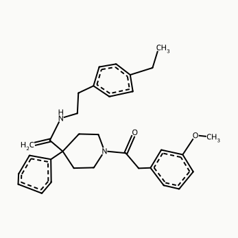 C=C(NCCc1ccc(CC)cc1)C1(c2ccccc2)CCN(C(=O)Cc2cccc(OC)c2)CC1